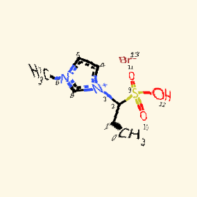 CCC([n+]1ccn(C)c1)S(=O)(=O)O.[Br-]